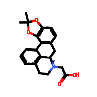 CC1(C)Oc2ccc3c(c2O1)-c1cccc2c1[C@@H](C3)N(CC(=O)O)CC2